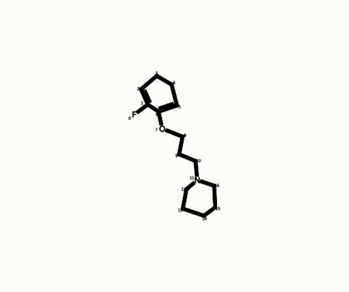 FC1=C[CH]CC=C1OCCCN1CCCCC1